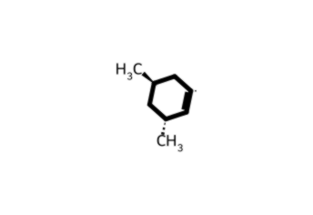 C[C@H]1C[C]=C[C@H](C)C1